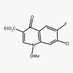 CCOC(=O)c1cn(OC)c2cc(Cl)c(F)cc2c1=O